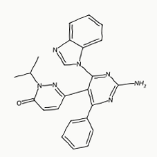 CC(C)n1nc(-c2c(-c3ccccc3)nc(N)nc2-n2cnc3ccccc32)ccc1=O